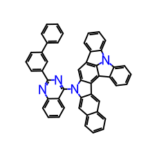 c1ccc(-c2cccc(-c3nc(-n4c5cc6ccccc6cc5c5c6c7ccccc7n7c8ccccc8c(cc54)c67)c4ccccc4n3)c2)cc1